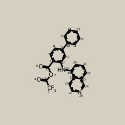 O=C(OC(=O)C(F)(F)F)c1ccc(-c2ccccc2)cc1Nc1cccc2cnccc12